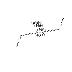 CCCCCC/C=C\CCCCCCCC(=O)C(N)C(O)C(=O)CCCCCCC/C=C\CCCCCC.O=P(O)(O)O